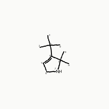 CC(C)(C)C1=CCNC1(C)C